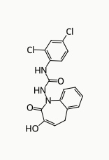 O=C(Nc1ccc(Cl)cc1Cl)NN1C(=O)C(O)=CCc2ccccc21